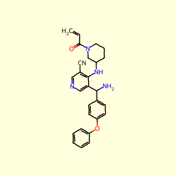 C=CC(=O)N1CCCC(Nc2c(C#N)cncc2C(N)c2ccc(Oc3ccccc3)cc2)C1